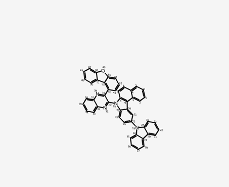 c1ccc2c(c1)ccc1c2c2cc(-n3c4ccccc4c4ccccc43)ccc2n1-c1nc2ccccc2nc1-c1cccc2oc3ccccc3c12